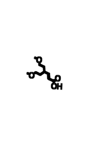 COCCC(/C=C/C(=O)O)CCOC